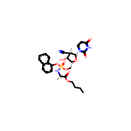 CCCCOC(=O)[C@H](C)NP(=O)(OC[C@H]1O[C@@H](n2ccc(=O)[nH]c2=O)[C@](C)(C#N)[C@@H]1O)Oc1cccc2ccccc12